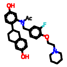 CC(=O)N(Cc1ccc(OCCN2CCCCC2)c(F)c1)c1cc(O)ccc1C1CCc2cc(O)ccc2C1